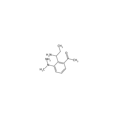 CCC(N)c1c(C(C)=O)cccc1N(C)N